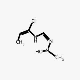 C/C=C(/Cl)N/C=N\N(C)O